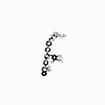 CCOC(=O)OC(C)OC(=O)CN1CCC(N2CCN(C(=O)[C@@H](Cc3cc(Cl)c(N)c(C(F)(F)F)c3)OC(=O)N3CCC(N4CCc5ccccc5NC4=O)CC3)CC2)CC1